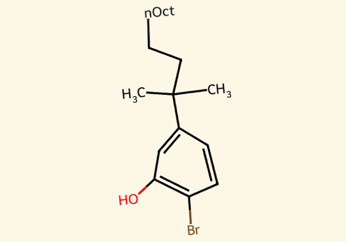 CCCCCCCCCCC(C)(C)c1ccc(Br)c(O)c1